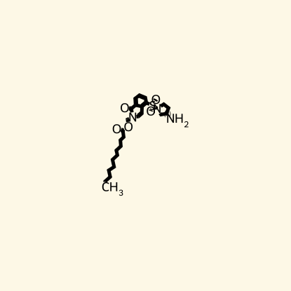 CCCCCCCCCCCC(=O)OCn1ccc2c(S(=O)(=O)N3CC[C@@H](N)C3)cccc2c1=O